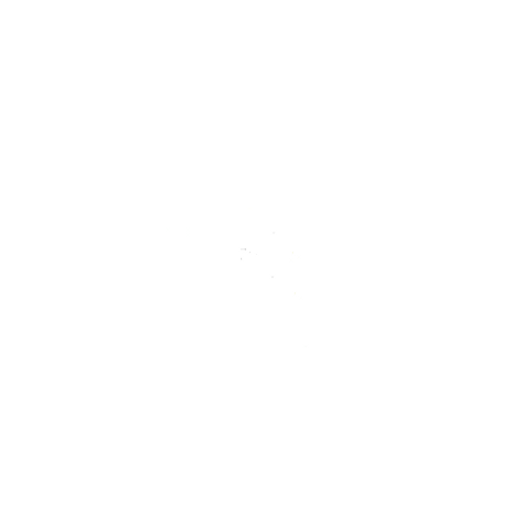 ClC1=C2C=CC=C2[C]2(S1)S[C]1(SC(Cl)=C3C=CC=C31)[Zr+2]2.[Cl-].[Cl-]